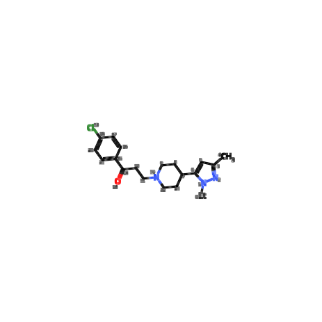 CCn1nc(C)cc1C1CCN(CCC(=O)c2ccc(Cl)cc2)CC1